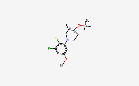 CCOc1cc(F)c(F)c(N2CC[C@H](O[Si](C)(C)C(C)(C)C)[C@H](C)C2)c1